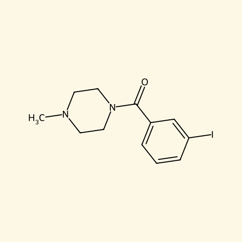 CN1CCN(C(=O)c2cccc(I)c2)CC1